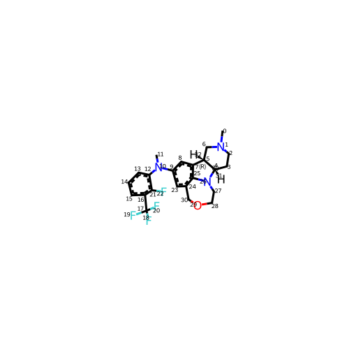 CN1CC[C@H]2[C@@H](C1)c1cc(N(C)c3cccc(C(F)(F)F)c3F)cc3c1N2CCOC3